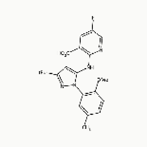 COc1ccc(C)cc1-n1nc(C(C)(C)C)cc1Nc1ncc(F)cc1C(=O)O